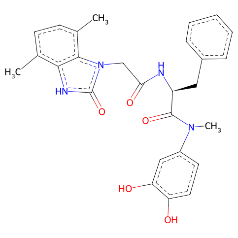 Cc1ccc(C)c2c1[nH]c(=O)n2CC(=O)N[C@@H](Cc1ccccc1)C(=O)N(C)c1ccc(O)c(O)c1